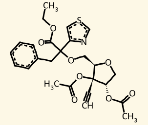 C#C[C@]1(OC(C)=O)[C@@H](OC(C)=O)CO[C@@H]1COC(Cc1ccccc1)(C(=O)OCC)c1cscn1